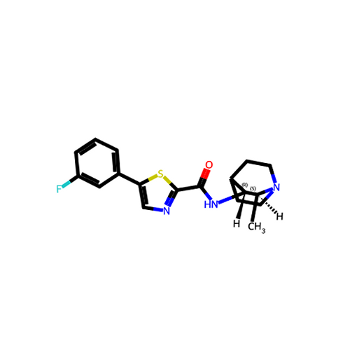 C[C@H]1[C@H](NC(=O)c2ncc(-c3cccc(F)c3)s2)C2CCN1CC2